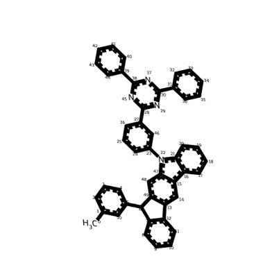 Cc1cccc(C2c3ccccc3-c3cc4c5ccccc5n(-c5cccc(-c6nc(-c7ccccc7)nc(-c7ccccc7)n6)c5)c4cc32)c1